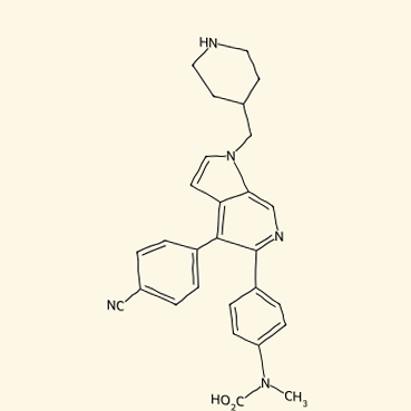 CN(C(=O)O)c1ccc(-c2ncc3c(ccn3CC3CCNCC3)c2-c2ccc(C#N)cc2)cc1